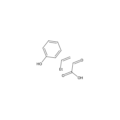 C=CCC.O=CC(=O)O.Oc1ccccc1